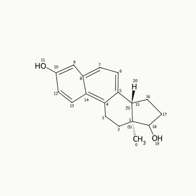 C[C@]12CCc3c(ccc4cc(O)ccc34)[C@@H]1CCC2O